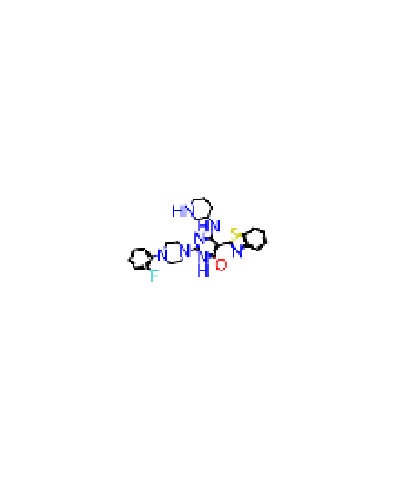 O=c1[nH]c(N2CCN(c3ccccc3F)CC2)nc(NC2CCCNC2)c1-c1nc2ccccc2s1